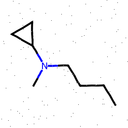 CCCCN(C)C1CC1